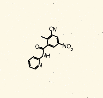 Cc1c(C#N)cc([N+](=O)[O-])cc1C(=O)Nc1ccccn1